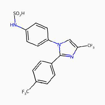 O=S(=O)(O)Nc1ccc(-n2cc(C(F)(F)F)nc2-c2ccc(C(F)(F)F)cc2)cc1